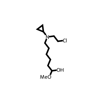 COC(O)CCCCCN(CCCl)C1CC1